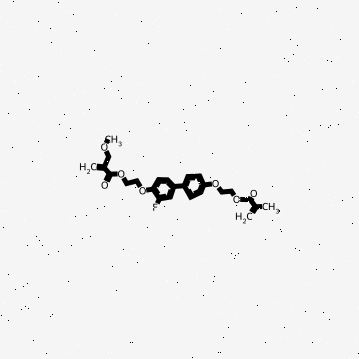 C=C(C)C(=O)OCCOc1ccc(-c2ccc(OCCOC(=O)C(=C)COC)c(F)c2)cc1